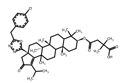 CC(C)C1=C2C3(C)CCC4[C@@]5(C)CC[C@H](OC(=O)CC(C)(C)C(=O)O)C(C)(C)C5CC[C@@]4(C)[C@]3(C)CC[C@@]2(c2nnc(Cc3ccc(Cl)cc3)o2)CC1=O